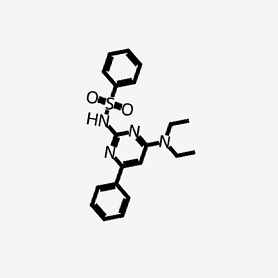 CCN(CC)c1cc(-c2ccccc2)nc(NS(=O)(=O)c2ccccc2)n1